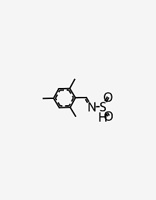 Cc1cc(C)c(C=N[SH](=O)=O)c(C)c1